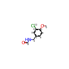 COc1ccc(CN[C]=O)cc1Cl